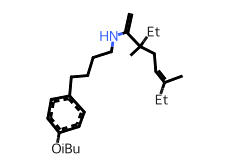 C=C(NCCCCc1ccc(OCC(C)C)cc1)C(C)(CC)C/C=C(\C)CC